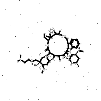 CCC1OC(=O)C(C)C(O[C@H]2C[C@@](C)(OC)[C@](O)(CNCCN(C)C)[C@H](C)O2)C(C)C(O[C@@H]2O[C@H](C)C[C@H](NC)[C@H]2Oc2ccccc2)C(C)(O)CC(C)CNC(C)C(O)C1(C)O